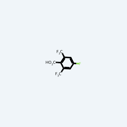 O=C(O)c1c(C(F)(F)F)cc(F)cc1C(F)(F)F